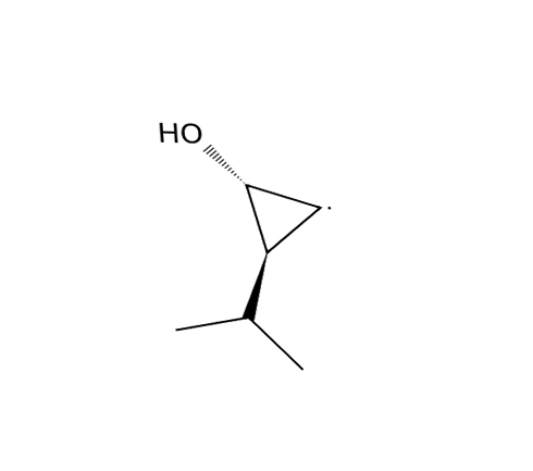 CC(C)[C@@H]1[CH][C@H]1O